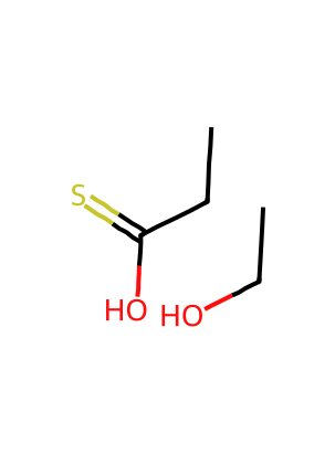 CCC(O)=S.CCO